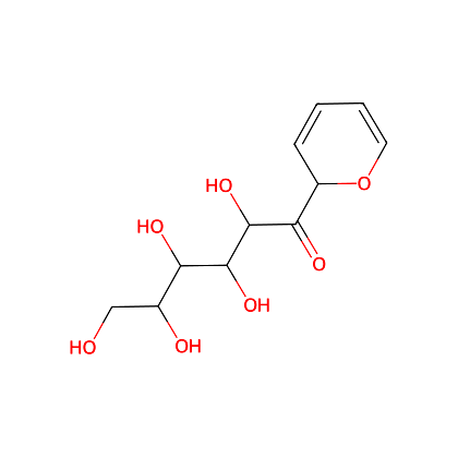 O=C(C1C=CC=CO1)C(O)C(O)C(O)C(O)CO